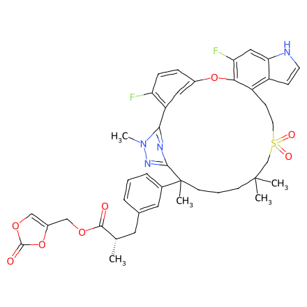 C[C@@H](Cc1cccc(C2(C)CCCC(C)(C)CS(=O)(=O)CCc3c(c(F)cc4[nH]ccc34)Oc3ccc(F)c(c3)-c3nc2nn3C)c1)C(=O)OCc1coc(=O)o1